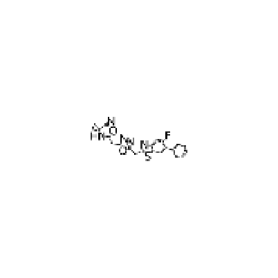 N#CC1(NC(=O)Cc2nnc(Cc3nc4cc(F)c(-c5ccccc5)cc4s3)o2)CC1